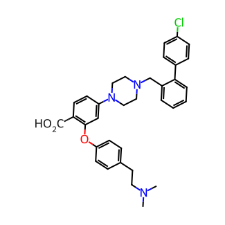 CN(C)CCc1ccc(Oc2cc(N3CCN(Cc4ccccc4-c4ccc(Cl)cc4)CC3)ccc2C(=O)O)cc1